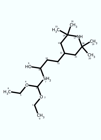 CCOC(OCC)[SiH2]C(O)CCC1CC(C)(C)NC(C)(C)C1